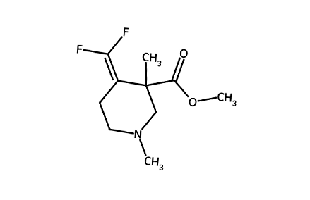 COC(=O)C1(C)CN(C)CCC1=C(F)F